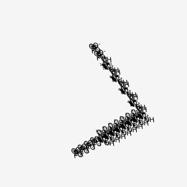 O=P([O-])([O-])F.O=P([O-])([O-])F.O=P([O-])([O-])F.O=P([O-])([O-])F.O=P([O-])([O-])F.O=P([O-])([O-])F.On1cc[n+](O)c1.On1cc[n+](O)c1.On1cc[n+](O)c1.On1cc[n+](O)c1.On1cc[n+](O)c1.On1cc[n+](O)c1.On1cc[n+](O)c1.On1cc[n+](O)c1.On1cc[n+](O)c1.On1cc[n+](O)c1.On1cc[n+](O)c1.On1cc[n+](O)c1